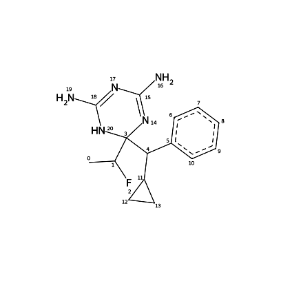 CC(F)C1(C(c2ccccc2)C2CC2)N=C(N)N=C(N)N1